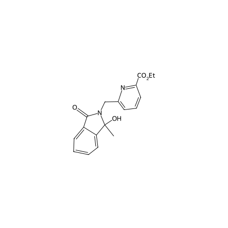 CCOC(=O)c1cccc(CN2C(=O)c3ccccc3C2(C)O)n1